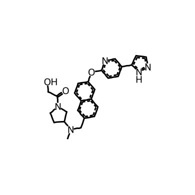 CN(Cc1ccc2cc(Oc3ccc(-c4ccn[nH]4)cn3)ccc2c1)C1CCN(C(=O)CO)C1